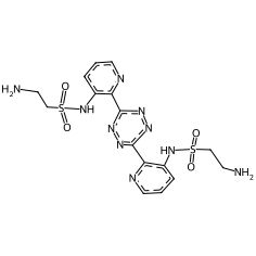 NCCS(=O)(=O)Nc1cccnc1-c1nnc(-c2ncccc2NS(=O)(=O)CCN)nn1